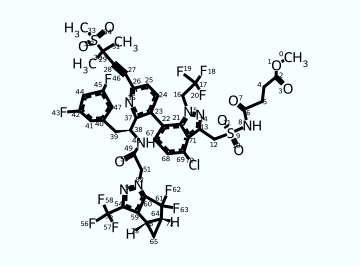 COC(=O)CCC(=O)NS(=O)(=O)Cc1nn(CC(F)(F)F)c2c(-c3ccc(C#CC(C)(C)S(C)(=O)=O)nc3[C@H](Cc3cc(F)cc(F)c3)NC(=O)Cn3nc(C(F)(F)F)c4c3C(F)(F)[C@@H]3C[C@H]43)ccc(Cl)c12